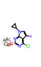 CC(=O)[O-].CC(=O)[O-].Clc1ncnc2c1c(I)cn2C1CC1.[Cu+2]